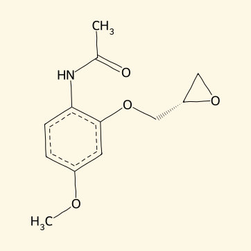 COc1ccc(NC(C)=O)c(OC[C@@H]2CO2)c1